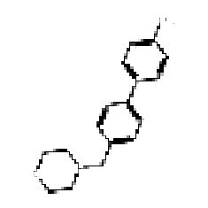 Cc1ccc(-c2ccc(CN3CCOCC3)cc2)cc1